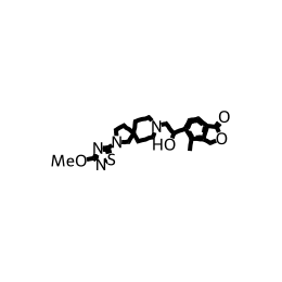 COc1nsc(N2CCC3(CCN(CC(O)c4ccc5c(c4C)COC5=O)CC3)C2)n1